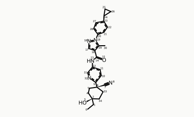 CC[C@]1(O)CC[C@](C#N)(c2ccc(NC(=O)c3cnn(-c4ccc(C5CC5)cc4)c3C)cn2)CC1